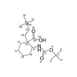 CC(C)(C)OC(=O)NC1CCCCC1(CC[Si](C)(C)C)C(=O)O